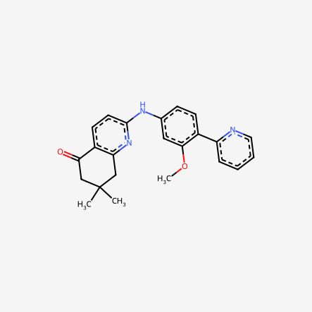 COc1cc(Nc2ccc3c(n2)CC(C)(C)CC3=O)ccc1-c1ccccn1